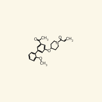 C=CC(=O)N1CCC(Oc2cc(C(C)=O)cc(-c3ccccc3OC)c2)CC1